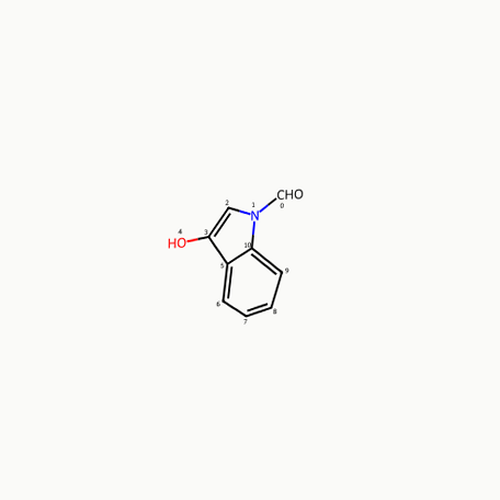 O=Cn1cc(O)c2ccccc21